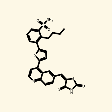 CCCCc1c(-c2ccc(-c3ccnc4ccc(/C=C5/SC(=O)NC5=O)cc34)s2)cccc1S(N)(=O)=O